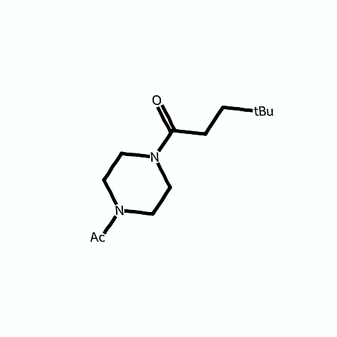 CC(=O)N1CCN(C(=O)CCC(C)(C)C)CC1